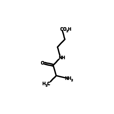 CC(N)C(=O)NCCC(=O)O